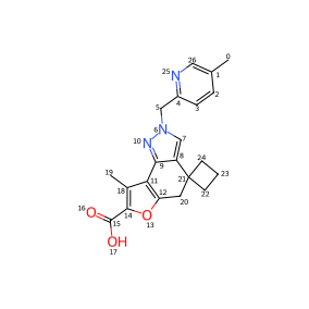 Cc1ccc(Cn2cc3c(n2)-c2c(oc(C(=O)O)c2C)CC32CCC2)nc1